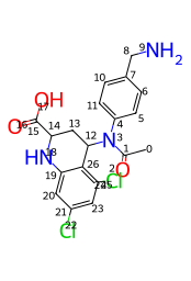 CC(=O)N(c1ccc(CN)cc1)C1CC(C(=O)O)Nc2cc(Cl)cc(Cl)c21